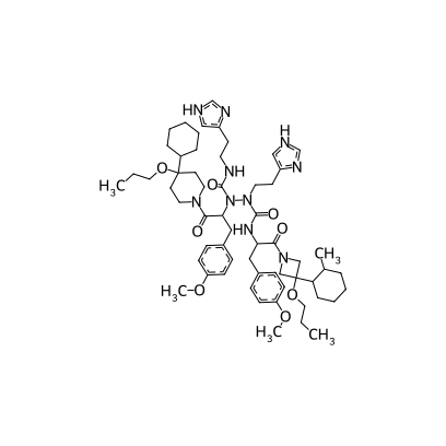 CCCOC1(C2CCCCC2)CCN(C(=O)C(Cc2ccc(OC)cc2)N(C(=O)NCCc2c[nH]cn2)N(CCc2c[nH]cn2)C(=O)NC(Cc2ccc(OC)cc2)C(=O)N2CC(OCCC)(C3CCCCC3C)C2)CC1